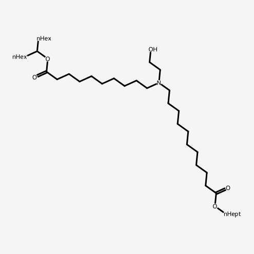 CCCCCCCOC(=O)CCCCCCCCCCN(CCO)CCCCCCCCCC(=O)OC(CCCCCC)CCCCCC